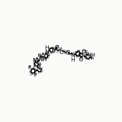 O=C(Nc1cnn2ccc(N3CCCC3c3cc(F)ccc3F)nc12)c1cccc(NC2CCN(C(=O)CCOCCOCCNc3ccc4c(c3)C(=O)N(C3CCC(F)NC3F)C4=O)CC2)n1